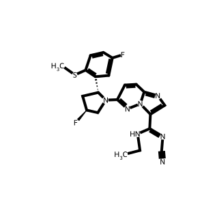 CCN/C(=N\C#N)c1cnc2ccc(N3C[C@@H](F)C[C@@H]3c3cc(F)ccc3SC)nn12